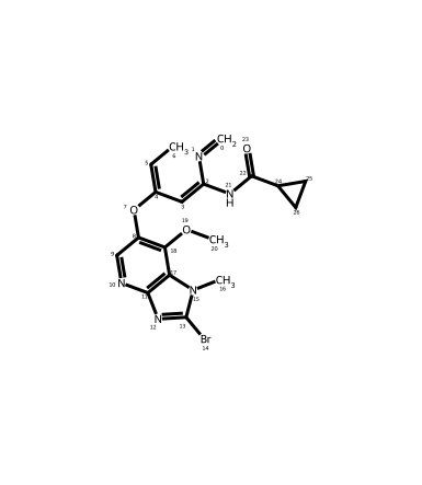 C=N/C(=C\C(=C/C)Oc1cnc2nc(Br)n(C)c2c1OC)NC(=O)C1CC1